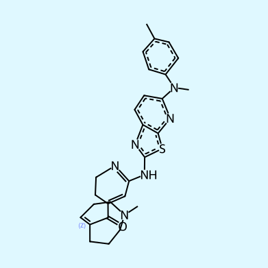 Cc1ccc(N(C)c2ccc3nc(NC4=NCCC(C(=O)/C5=C\CCN(C)CCC5)=C4)sc3n2)cc1